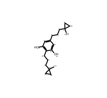 CCC1(CCCc2cc(O)c(CCCC3(I)CC3)c(O)c2)CC1